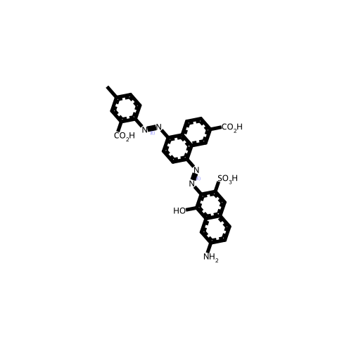 Cc1ccc(/N=N/c2ccc(/N=N/c3c(S(=O)(=O)O)cc4ccc(N)cc4c3O)c3cc(C(=O)O)ccc23)c(C(=O)O)c1